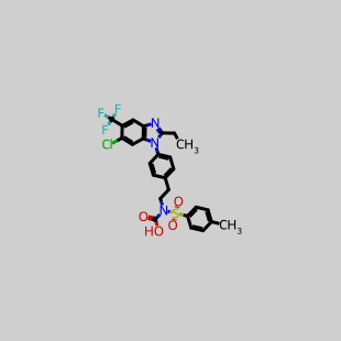 CCc1nc2cc(C(F)(F)F)c(Cl)cc2n1-c1ccc(CCN(C(=O)O)S(=O)(=O)c2ccc(C)cc2)cc1